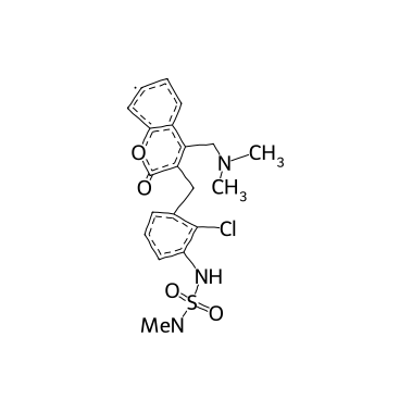 CNS(=O)(=O)Nc1cccc(Cc2c(CN(C)C)c3cc[c]cc3oc2=O)c1Cl